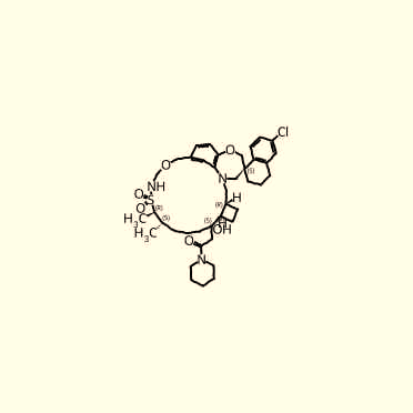 C[C@@H]1[C@@H](C)CCC[C@](O)(CC(=O)N2CCCCC2)[C@@H]2CC[C@H]2CN2C[C@@]3(CCCc4cc(Cl)ccc43)COc3ccc(cc32)COCNS1(=O)=O